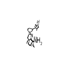 Cc1c[nH]nc1C1CCCN(c2ccc3ncnc(N)c3n2)C1